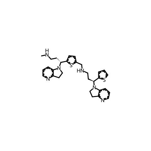 CNCC[C@H](c1ccc(CNCC[C@@H](c2cccs2)N2CCc3ncccc32)s1)N1CCc2ncccc21